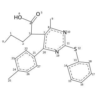 CCCC(C(=O)O)c1c(C)nc(Sc2ccccc2)nc1-c1ccc(C)cc1